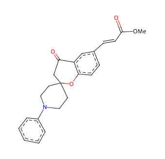 COC(=O)C=Cc1ccc2c(c1)C(=O)CC1(CCN(c3ccccc3)CC1)O2